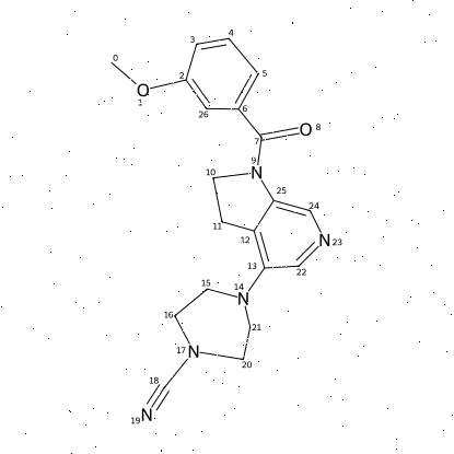 COc1cccc(C(=O)N2CCc3c(N4CCN(C#N)CC4)cncc32)c1